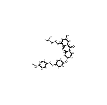 COc1ccc(CCc2ccc(Oc3ccc4c(=O)c5cc(C)cc(OCCN(C)C)c5oc4c3)cn2)cc1